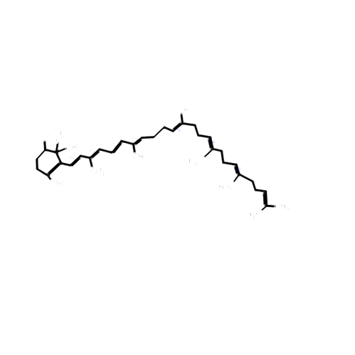 CC(C)=CCC/C(C)=C/CC/C(C)=C/CC/C(C)=C/CC/C=C(C)/C=C/C=C(C)/C=C/C1=C(C)CCC(O)C1(C)C